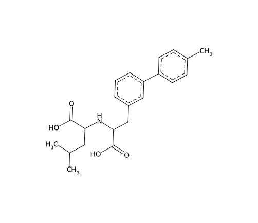 Cc1ccc(-c2cccc(CC(NC(CC(C)C)C(=O)O)C(=O)O)c2)cc1